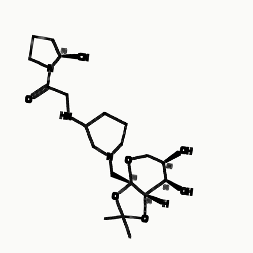 CC1(C)O[C@H]2[C@H](O)[C@H](O)CO[C@@]2(CN2CCCC(NCC(=O)N3CCC[C@H]3C#N)C2)O1